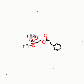 CCCO[Si](CCOC(=O)CCc1ccccc1)(OCCC)OCCC